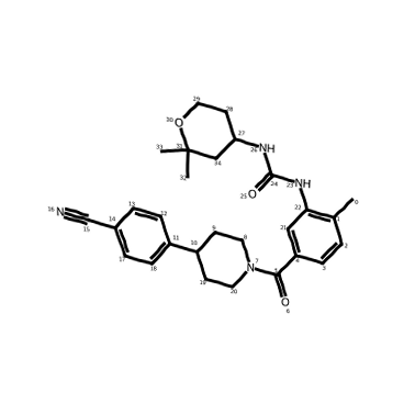 Cc1ccc(C(=O)N2CCC(c3ccc(C#N)cc3)CC2)cc1NC(=O)NC1CCOC(C)(C)C1